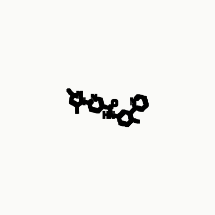 Cc1cc(C)n(-c2ccc(C(=O)Nc3ccc(C)c(-c4ccccn4)c3)cn2)n1